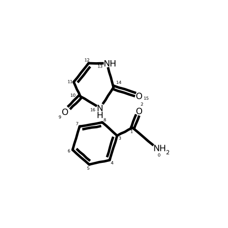 NC(=O)c1ccccc1.O=c1cc[nH]c(=O)[nH]1